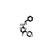 Fc1cnc(N/N=C/c2ccccc2)nc1N1CCOCC1